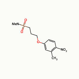 CNS(=O)(=O)CCCOc1ccc([N+](=O)[O-])c(C)c1